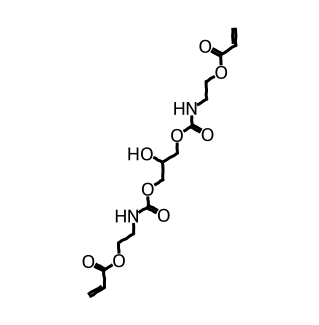 C=CC(=O)OCCNC(=O)OCC(O)COC(=O)NCCOC(=O)C=C